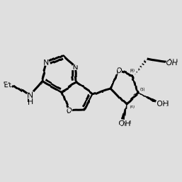 CCNc1ncnc2c(C3O[C@H](CO)[C@@H](O)[C@H]3O)coc12